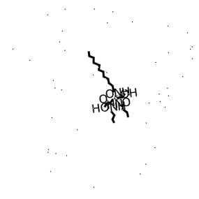 CCCCCCCCCCCC(=O)N[C@](CC(NCCCC)C(=O)O)(NCCCC)C(=O)O